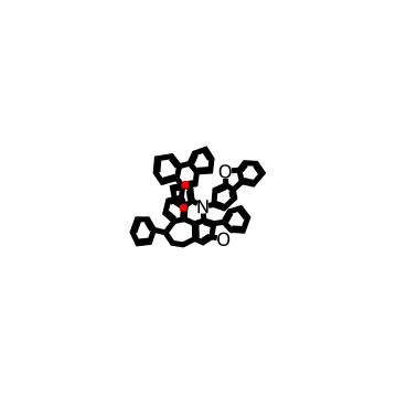 c1ccc(C2CCc3cc4oc5ccccc5c4c(N(c4ccccc4)c4ccc5c(c4)oc4ccccc45)c3-c3cc(-c4cc5ccccc5c5ccccc45)ccc32)cc1